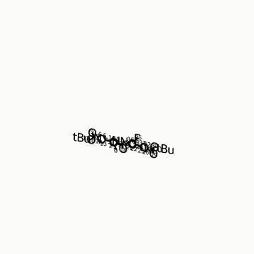 Cc1cc(C2=CCN(C(=O)OC(C)(C)C)CC2)ccc1C(=O)Nc1ccc(C2=CCN(C(=O)OC(C)(C)C)CC2)c(F)c1